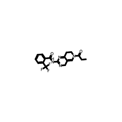 CCC(=O)N1C=C2CN=C(NC(=O)c3ccccc3C(F)(F)F)N=C2CC1